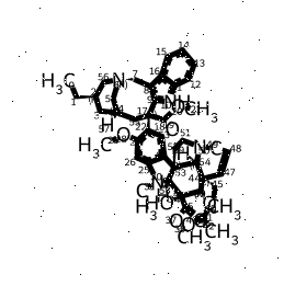 CC[C@@H]1C[C@@H]2C[N@@](Cc3c([nH]c4ccccc34)[C@@](C(=O)OC)(c3cc4c(cc3OC)N(C)[C@H]3[C@@](O)(C(=O)OC)[C@H](OC(C)=O)[C@]5(CC)C=CCN6CC[C@]43[C@@H]65)C2)C1